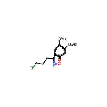 COc1cc2onc(CCCCl)c2cc1OC